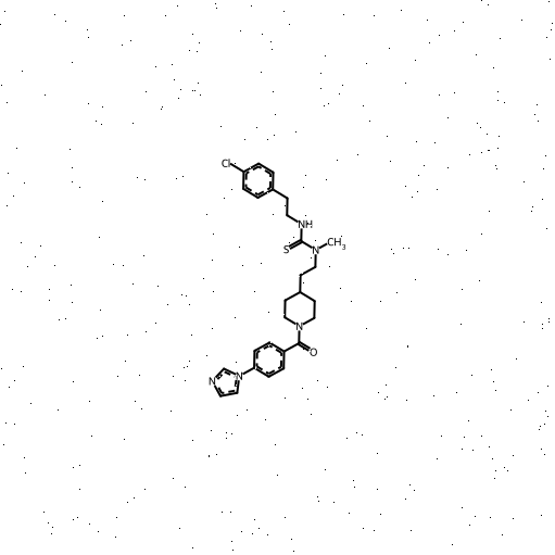 CN(CCC1CCN(C(=O)c2ccc(-n3ccnc3)cc2)CC1)C(=S)NCCc1ccc(Cl)cc1